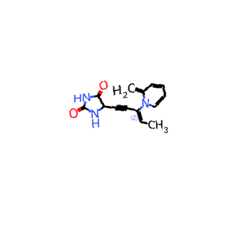 C=C1C=CC=CN1/C(C#CC1NC(=O)NC1=O)=C\C